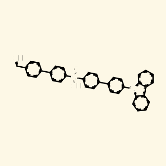 C=Cc1ccc(-c2ccc([Si](C)(C)c3ccc(-c4ccc(-n5c6ccccc6c6ccccc65)cc4)cc3)cc2)cc1